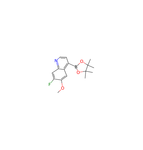 COc1cc2c(B3OC(C)(C)C(C)(C)O3)ccnc2cc1F